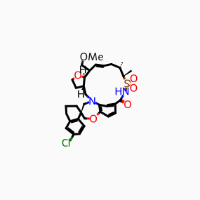 COCC1/C=C/C[C@H](C)[C@@H](C)S(=O)(=O)NC(=O)c2ccc3c(c2)N(C[C@@H]2CCO[C@@H]12)C[C@@]1(CCCc2cc(Cl)ccc21)CO3